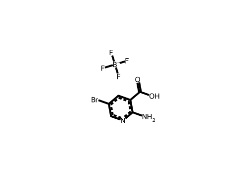 F[B-](F)(F)F.Nc1ncc(Br)cc1C(=O)O